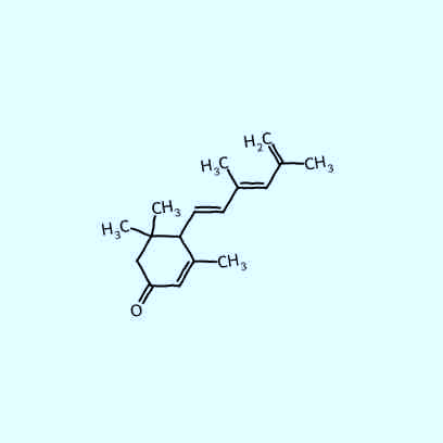 C=C(C)/C=C(C)/C=C/C1C(C)=CC(=O)CC1(C)C